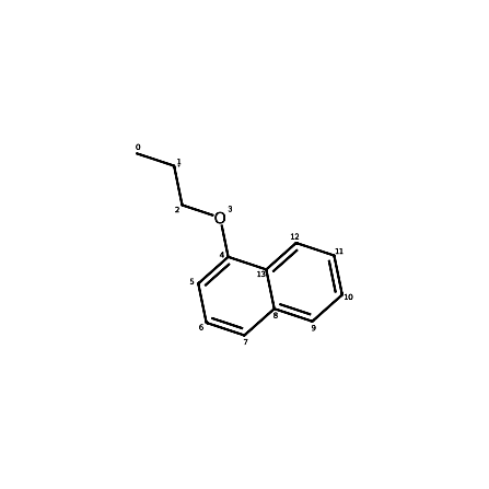 C[CH]COc1cccc2ccccc12